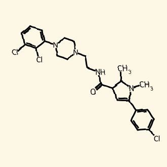 CC1C(C(=O)NCCN2CCN(c3cccc(Cl)c3Cl)CC2)C=C(c2ccc(Cl)cc2)N1C